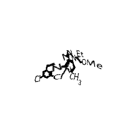 CC[C@H](COC)n1nnc2c(N3CCc4cc(Cl)cc(Cl)c43)nc(C)cc21